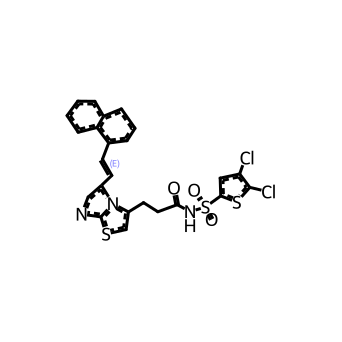 O=C(CCc1csc2ncc(/C=C/c3cccc4ccccc34)n12)NS(=O)(=O)c1cc(Cl)c(Cl)s1